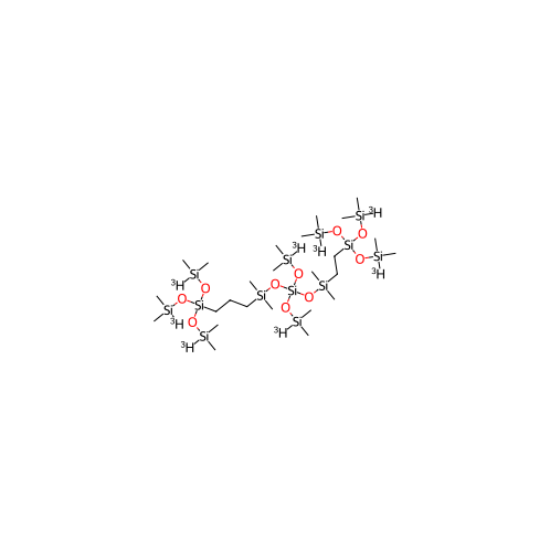 [3H][Si](C)(C)O[Si](CCC[Si](C)(C)O[Si](O[Si]([3H])(C)C)(O[Si]([3H])(C)C)O[Si](C)(C)CC[Si](O[Si]([3H])(C)C)(O[Si]([3H])(C)C)O[Si]([3H])(C)C)(O[Si]([3H])(C)C)O[Si]([3H])(C)C